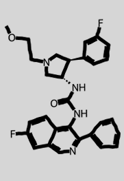 COCCN1C[C@@H](NC(=O)Nc2c(-c3ccccc3)ncc3cc(F)ccc23)[C@H](c2cccc(F)c2)C1